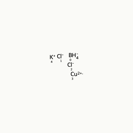 [BH4-].[Cl-].[Cl-].[Cu+2].[K+]